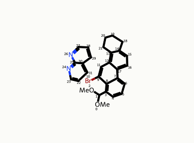 COC(OC)c1cccc2c1c(Br)cc1c3c(ccc12)CCCC3.c1cnc2ncccc2c1